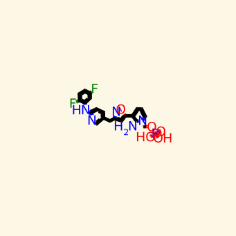 NC1C(c2cc(Cc3ccc(Nc4cc(F)ccc4F)nc3)no2)=CC=CN1COP(=O)(O)O